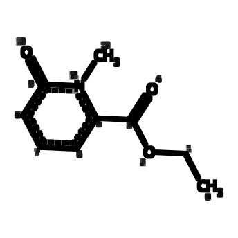 CCOC(=O)c1cccc(=O)n1C